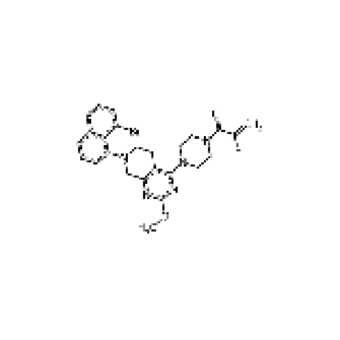 C=C(F)C(=O)N1CCN(c2nc(OC)nc3c2CCN(c2cccc4cccc(Br)c24)C3)CC1